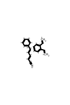 C=Cc1ccccc1C=C.N#CC=CC=Cc1ccccc1